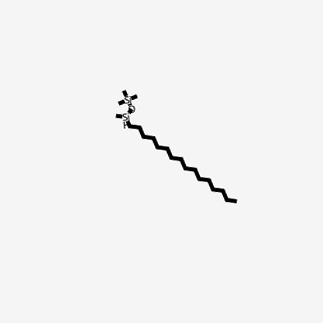 CCCCCCCCCCCCCCCC[SiH](C)O[Si](C)(C)C